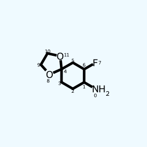 NC1CCC2(CC1F)OCCO2